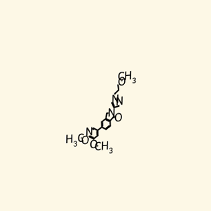 COCCCn1cc(N2Cc3cc(-c4cnc(OC)c(OC)c4)ccc3C2=O)cn1